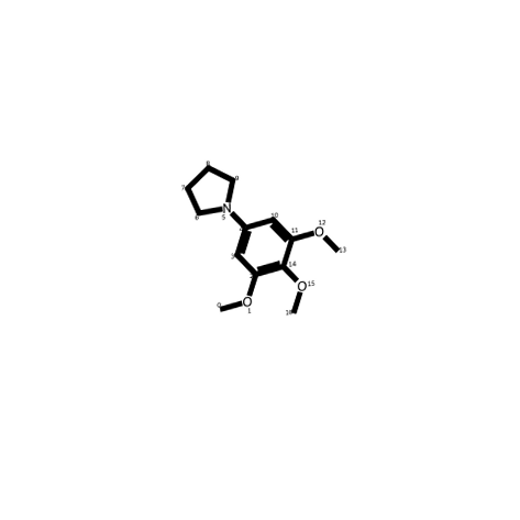 COc1cc(N2CCCC2)cc(OC)c1OC